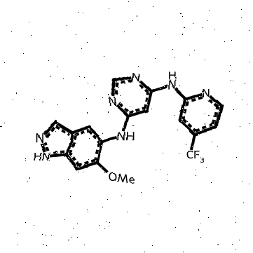 COc1cc2[nH]ncc2cc1Nc1cc(Nc2cc(C(F)(F)F)ccn2)ncn1